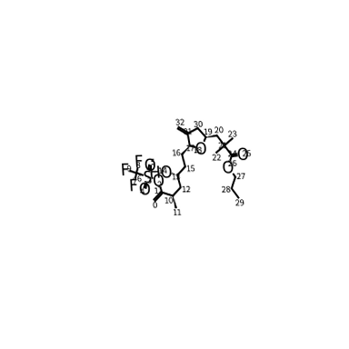 C=C(OS(=O)(=O)C(F)(F)F)[C@H](C)C[C@H](O)CC[C@@H]1O[C@H](CC(C)(C)C(=O)OCCC)CC1=C